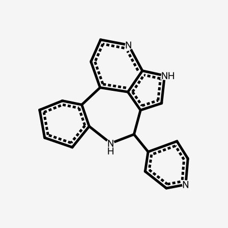 c1ccc2c(c1)NC(c1ccncc1)c1c[nH]c3nccc-2c13